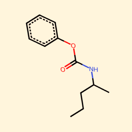 CCCC(C)NC(=O)Oc1ccccc1